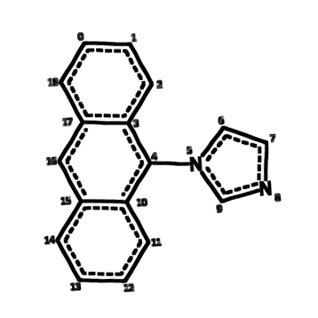 c1ccc2c(-n3ccnc3)c3ccccc3cc2c1